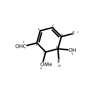 COC1C(C=O)=CC=C(F)C1(O)F